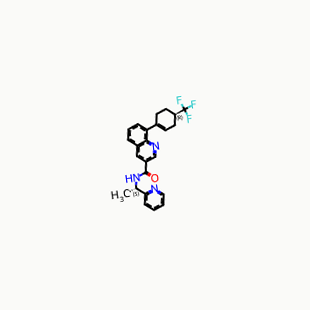 C[C@H](NC(=O)c1cnc2c(C3=CC[C@H](C(F)(F)F)CC3)cccc2c1)c1ccccn1